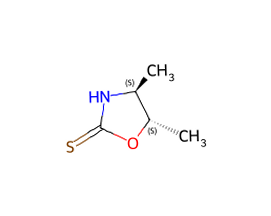 C[C@@H]1NC(=S)O[C@H]1C